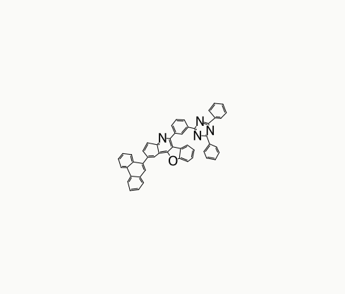 c1ccc(-c2nc(-c3ccccc3)nc(-c3cccc(-c4nc5ccc(-c6cc7ccccc7c7ccccc67)cc5c5oc6ccccc6c45)c3)n2)cc1